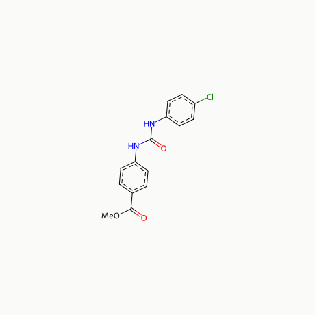 COC(=O)c1ccc(NC(=O)Nc2ccc(Cl)cc2)cc1